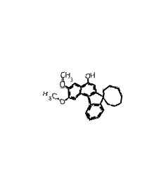 COc1cc2c(O)cc3c(c2cc1OC)-c1ccccc1C31CCCCCCC1